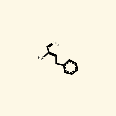 C=[C]/C(C)=C/Cc1ccccc1